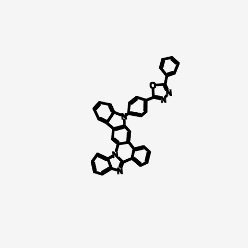 c1ccc(-c2nnc(-c3ccc(-n4c5ccccc5c5cc6c(cc54)c4ccccc4c4nc5ccccc5n64)cc3)o2)cc1